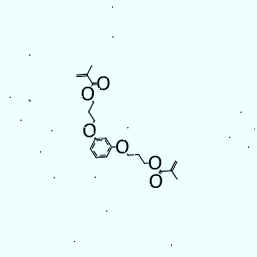 C=C(C)C(=O)OCCCOc1cccc(OCCCOC(=O)C(=C)C)c1